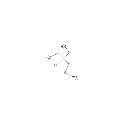 CCC(C)(CC)COC